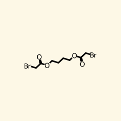 O=C(CBr)OCCCCOC(=O)CBr